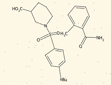 CCCCc1ccc(S(=O)(=O)N2CCCC(C(=O)O)C2)cc1.Cc1ccccc1C(N)=O